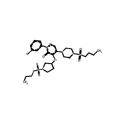 CCCCS(=O)(=O)N1CCN(c2cnn(-c3cccc(Cl)c3)c(=O)c2OC2CCN(S(=O)(=O)CCCC)C2)CC1